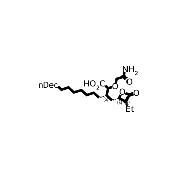 CCCCCCCCCCCCCCCCC[C@@H](C[C@@H]1OC(=O)[C@H]1CC)C(OCC(N)=O)C(=O)O